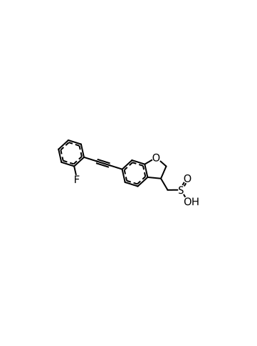 O=S(O)CC1COc2cc(C#Cc3ccccc3F)ccc21